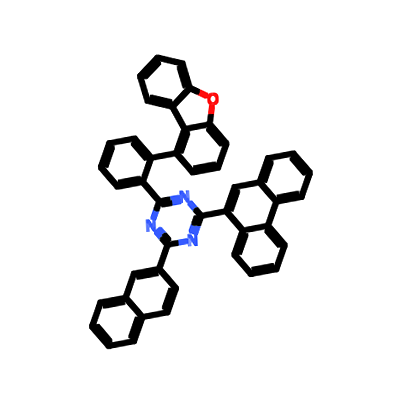 c1ccc(-c2cccc3oc4ccccc4c23)c(-c2nc(-c3ccc4ccccc4c3)nc(-c3cc4ccccc4c4ccccc34)n2)c1